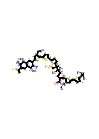 C=C(S)c1cc2c(cc(-c3cc(CC(C)C)c(-c4ccc(-c5ccc(C(C)(CP)C(CC)(CC)c6cc(C(=O)N(C)C)c(-c7ccc(-c8ccc(C(C)(CC)CC)s8)s7)s6)s5)s4)s3)c3nsnc32)c2nsnc12